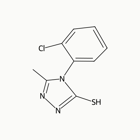 Cc1nnc(S)n1-c1ccccc1Cl